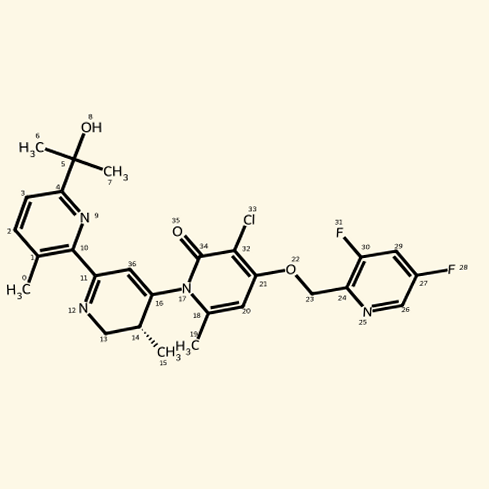 Cc1ccc(C(C)(C)O)nc1C1=NC[C@@H](C)C(n2c(C)cc(OCc3ncc(F)cc3F)c(Cl)c2=O)=C1